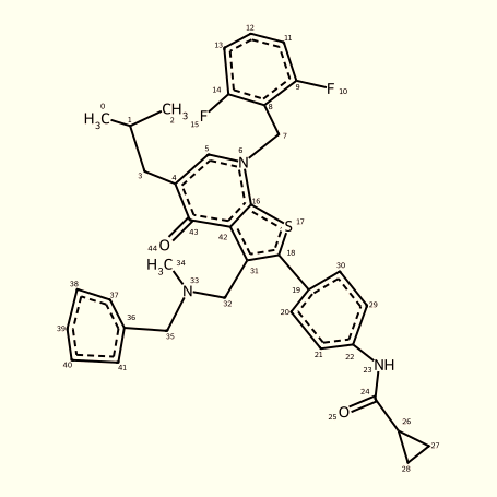 CC(C)Cc1cn(Cc2c(F)cccc2F)c2sc(-c3ccc(NC(=O)C4CC4)cc3)c(CN(C)Cc3ccccc3)c2c1=O